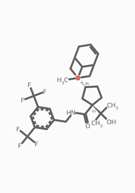 CN(C1C2C=CCC1COC2)[C@@H]1CC[C@@](C(=O)NCc2cc(C(F)(F)F)cc(C(F)(F)F)c2)(C(C)(C)O)C1